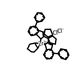 C1=C(C2CCCC2)[CH]([Zr+2]2([CH]3C(C4CCCC4)=Cc4c(-c5ccccc5)cccc43)[CH]3CCCC[CH]32)c2cccc(-c3ccccc3)c21.[Cl-].[Cl-]